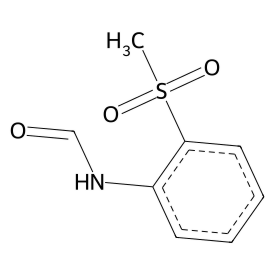 CS(=O)(=O)c1ccccc1NC=O